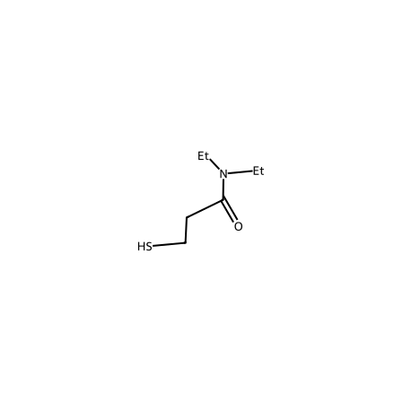 CCN(CC)C(=O)CCS